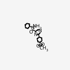 CS(=O)(=O)c1ccc(-c2cncc(C(=O)N(N)c3ccccc3)n2)cc1